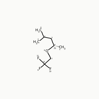 CC(C)C[C@H](C)OCC(F)(F)F